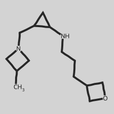 CC1CN(CC2CC2NCCCC2COC2)C1